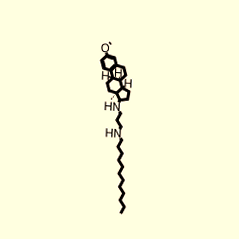 CCCCCCCCCCCCNCCCNC1CC[C@H]2[C@@H]3CCc4cc(OC)ccc4[C@H]3CC[C@]12C